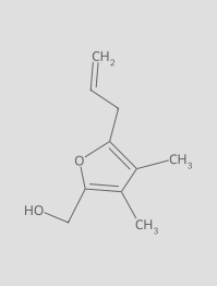 C=CCc1oc(CO)c(C)c1C